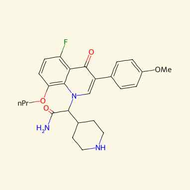 CCCOc1ccc(F)c2c(=O)c(-c3ccc(OC)cc3)cn(C(C(N)=O)C3CCNCC3)c12